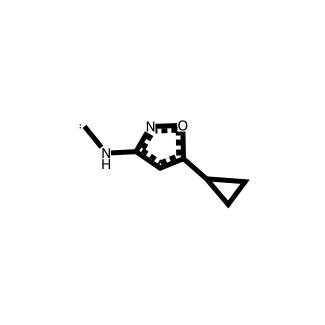 [CH]Nc1cc(C2CC2)on1